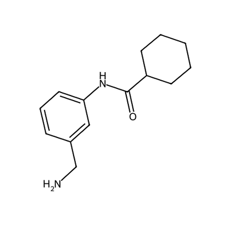 NCc1cccc(NC(=O)C2CCCCC2)c1